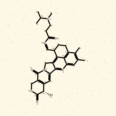 Cc1c(F)cc2nc3c(c4c2c1CCC4/C=N\C(=O)CCN(C)C(C)C)Cn1c-3cc2c(c1=O)COC(=O)[C@H]2O